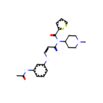 CC(=O)Nc1cccc(N/C=C\C(=N)N(C(=O)c2cccs2)C2CCN(C)CC2)c1